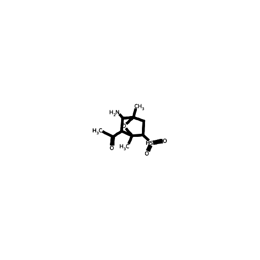 CC(=O)C1C(N)C2(C)CC([SH](=O)=O)C1(C)O2